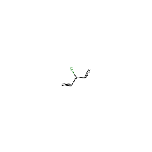 C=C[C](F)C=C